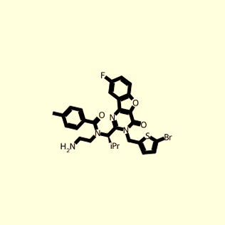 Cc1ccc(C(=O)N(CCN)[C@@H](c2nc3c(oc4ccc(F)cc43)c(=O)n2Cc2ccc(Br)s2)C(C)C)cc1